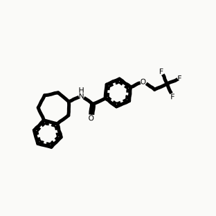 O=C(NC1CCCc2ccccc2C1)c1ccc(OCC(F)(F)F)cc1